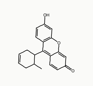 CC1CC=CCC1c1c2ccc(=O)cc-2oc2cc(O)ccc12